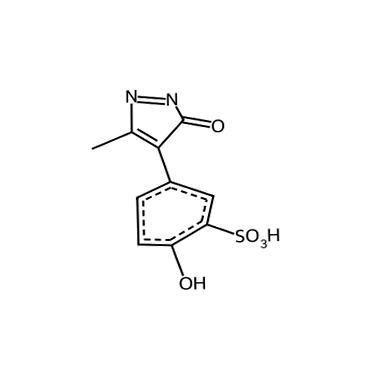 CC1=C(c2ccc(O)c(S(=O)(=O)O)c2)C(=O)N=N1